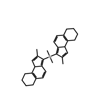 CC1=CC2C(=C1[Si](C)(C)C1=C3C=CC4=C(CCCC4)C3C=C1C)C=CC1=C2CCCC1